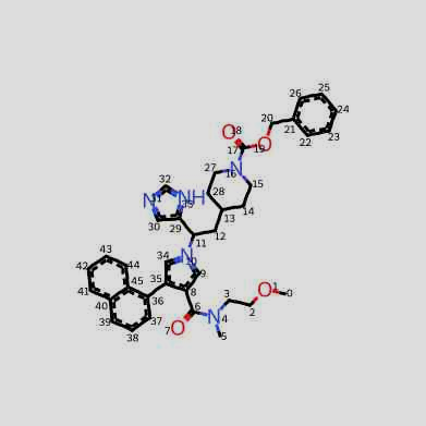 COCCN(C)C(=O)c1cn(C(CC2CCN(C(=O)OCc3ccccc3)CC2)c2cnc[nH]2)cc1-c1cccc2ccccc12